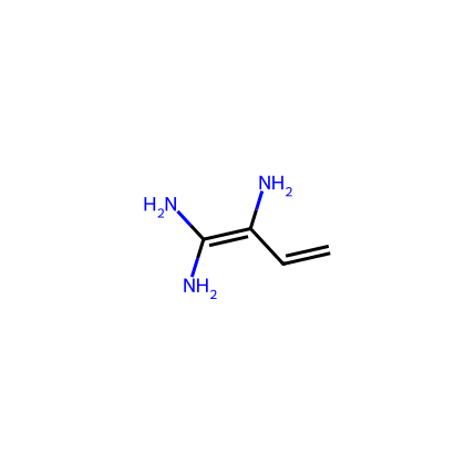 C=CC(N)=C(N)N